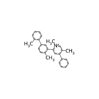 Cc1ccccc1-c1ccc(C)c(-c2cc(-c3ccccc3)c(C)c[n+]2C)c1